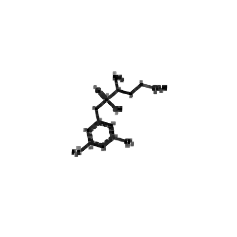 NC(CCC(=O)O)P(=O)(O)Cc1cc(C(F)(F)F)cc(C(F)(F)F)c1